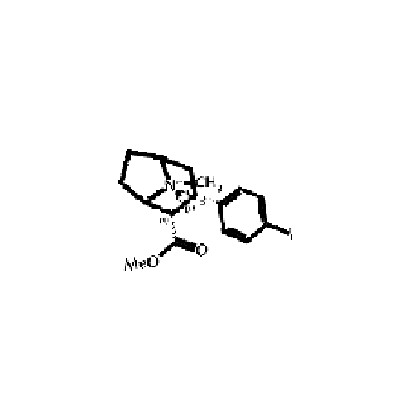 COC(=O)[C@@H]1C2CCC(C[C@@H]1c1ccc(I)cc1)[N+]2(C)C